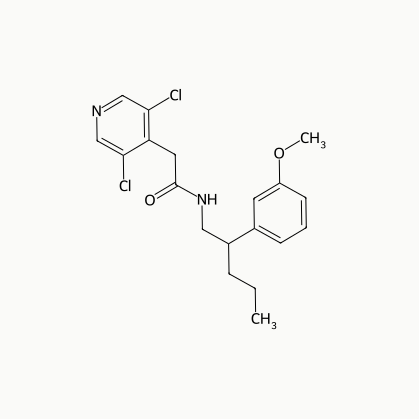 CCCC(CNC(=O)Cc1c(Cl)cncc1Cl)c1cccc(OC)c1